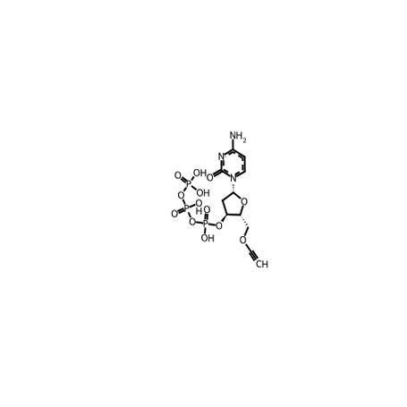 C#COC[C@H]1O[C@@H](n2ccc(N)nc2=O)C[C@@H]1OP(=O)(O)OP(=O)(O)OP(=O)(O)O